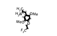 COc1cc(OCCC(F)(F)F)c(OC)cc1CC(C)N